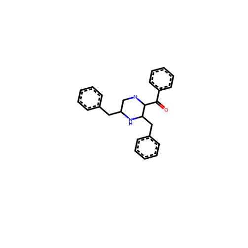 O=C(c1ccccc1)C1[N]CC(Cc2ccccc2)NC1Cc1ccccc1